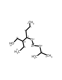 CCCC([O][Zr][O]C(C)C)C(CC)CO